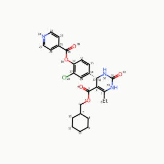 CCC1=C(C(=O)OCC2CCCCC2)[C@H](c2ccc(OC(=O)c3ccncc3)c(Cl)c2)NC(=O)N1